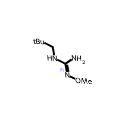 CO/N=C(\N)NCC(C)(C)C